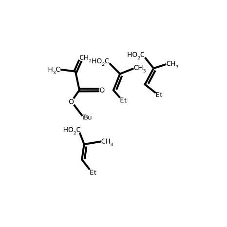 C=C(C)C(=O)OC(C)CC.CCC=C(C)C(=O)O.CCC=C(C)C(=O)O.CCC=C(C)C(=O)O